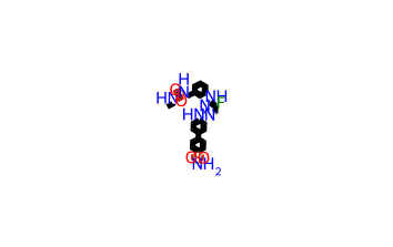 CCNS(=O)(=O)NCc1cccc(Nc2nc(Nc3ccc(-c4ccc(S(N)(=O)=O)cc4)cc3)ncc2F)c1